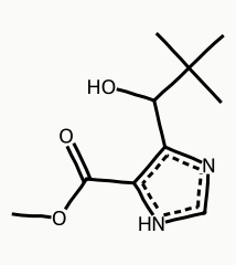 COC(=O)c1[nH]cnc1C(O)C(C)(C)C